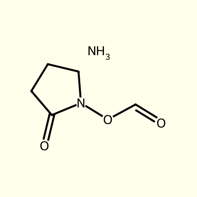 N.O=CON1CCCC1=O